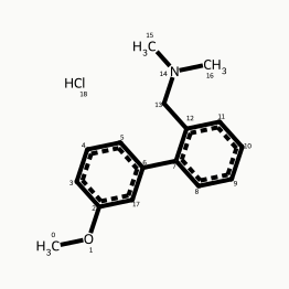 COc1cccc(-c2ccccc2CN(C)C)c1.Cl